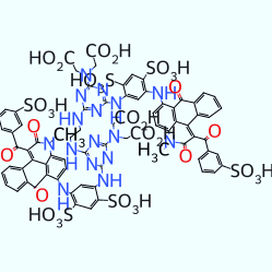 Cn1c(=O)c(C(=O)c2cccc(S(=O)(=O)O)c2)c2c3c(c(Nc4cc(Nc5nc(NCCNc6nc(Nc7cc(Nc8ccc9c%10c8C(=O)c8ccccc8-c%10c(C(=O)c8cccc(S(=O)(=O)O)c8)c(=O)n9C)c(S(=O)(=O)O)cc7S(=O)(=O)O)nc(N(CC(=O)O)CC(=O)O)n6)nc(N(CC(=O)O)CC(=O)O)n5)c(S(=O)(=O)O)cc4S(=O)(=O)O)ccc31)C(=O)c1ccccc1-2